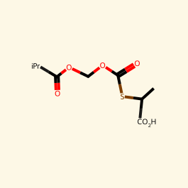 CC(C)C(=O)OCOC(=O)SC(C)C(=O)O